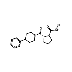 O=C(NO)[C@H]1CCC[C@@H]1C(=O)N1CCC(c2ccccc2)CC1